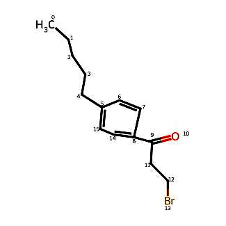 CCCCCc1ccc(C(=O)CCBr)cc1